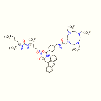 O=C(O)CCC[C@H](NC(=O)N[C@@H](CCCONC(=O)[C@H](Cc1c2ccccc2cc2ccccc12)NC(=O)C1CCC(CNC(=O)CN2CCN(CC(=O)O)CCN(CC(=O)O)CCN(CC(=O)O)CC2)CC1)C(=O)O)C(=O)O